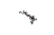 CCOC(=O)C1CC12CCN(c1ccc(NC(=O)c3nnc(Nc4ccc(C(F)(F)F)cc4)o3)cn1)CC2